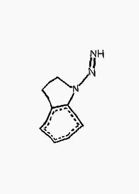 N=NN1CCc2ccccc21